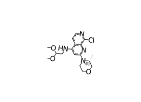 COC(CNc1cc(N2CCOC[C@H]2C)nc2c(Cl)nccc12)OC